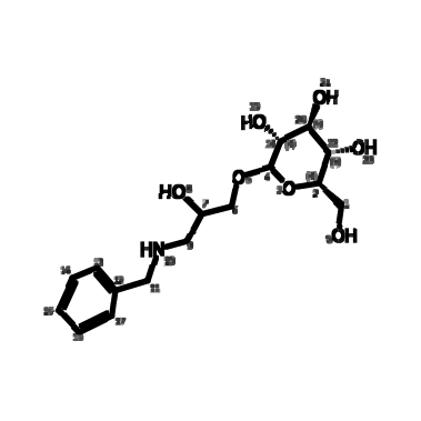 OC[C@H]1OC(OCC(O)CNCc2ccccc2)[C@H](O)[C@@H](O)[C@@H]1O